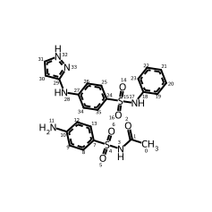 CC(=O)NS(=O)(=O)c1ccc(N)cc1.O=S(=O)(Nc1ccccc1)c1ccc(Nc2cc[nH]n2)cc1